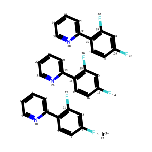 Fc1ccc(-c2ccccn2)c(F)c1.Fc1ccc(-c2ccccn2)c(F)c1.Fc1ccc(-c2ccccn2)c(F)c1.[Ir+3]